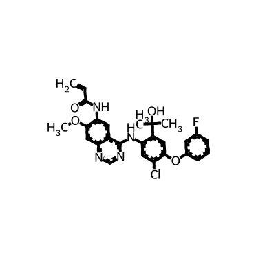 C=CC(=O)Nc1cc2c(Nc3cc(Cl)c(Oc4cccc(F)c4)cc3C(C)(C)O)ncnc2cc1OC